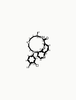 C[C@@H]1CCOCCN(c2ccc(F)c(Cl)c2)c2ccnc3ccc(nc23)C(=O)N1